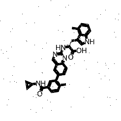 Cc1ccc(C(=O)NC2CC2)cc1-c1ccc2nc(N[C@H](Cc3c[nH]c4cccc(C)c34)C(=O)O)ncc2c1